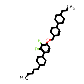 CCCCCC1CCC(c2ccc(OCC3C=CC(C4CCC(CCC)CC4)CC3)c(F)c2F)CC1